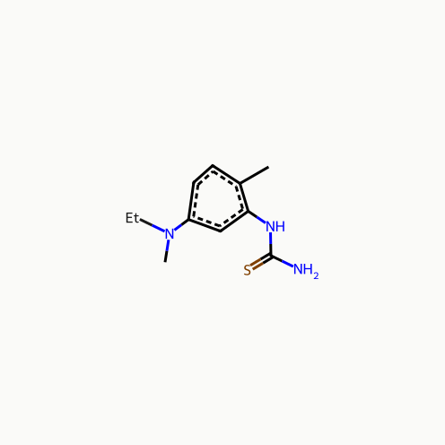 CCN(C)c1ccc(C)c(NC(N)=S)c1